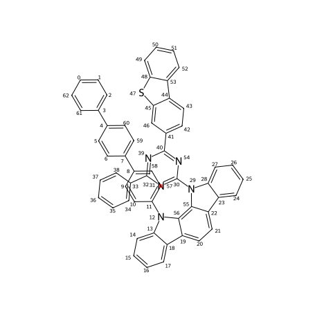 c1ccc(-c2ccc(-c3ccc(-n4c5ccccc5c5ccc6c7ccccc7n(-c7nc(-c8ccccc8)nc(-c8ccc9c(c8)sc8ccccc89)n7)c6c54)cc3)cc2)cc1